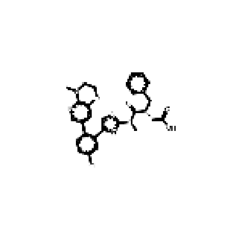 CN1CCOc2cc(-c3ccc(Cl)cc3-c3csc(N(C)C(=O)[C@@H](CC(=O)O)Cc4ccccc4)n3)cnc21